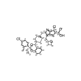 C[C@@]1(c2ccc(Cl)cc2F)Oc2ccccc2C(C2CCN(Cc3nc4c(Cl)c(C(=O)O)sc4n3C[C@@H]3CCO3)CC2)O1